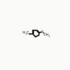 CCC1=CC=C(SC)CC1